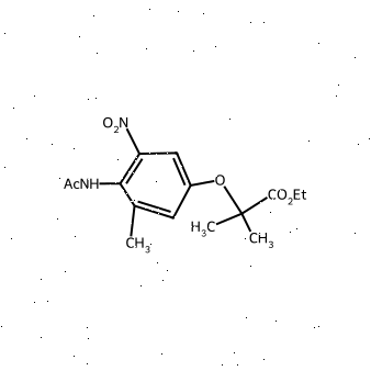 CCOC(=O)C(C)(C)Oc1cc(C)c(NC(C)=O)c([N+](=O)[O-])c1